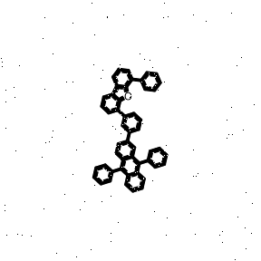 c1ccc(-c2c3ccccc3c(-c3ccccc3)c3cc(-c4cccc(-c5cccc6c5oc5c(-c7ccccc7)cccc56)c4)ccc23)cc1